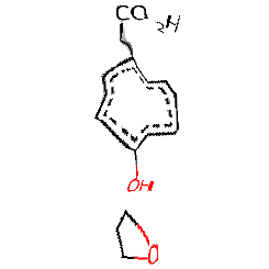 C1CO1.O=C(O)c1ccc(O)cc1